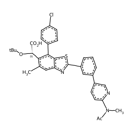 CC(=O)N(C)c1ccc(-c2cccc(-c3nc4cc(C)c([C@H](OC(C)(C)C)C(=O)O)c(-c5ccc(Cl)cc5)c4s3)c2)cn1